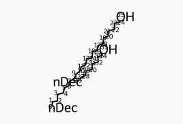 CCCCCCCCCCCCCCCCCCCCCCCCCCCCCCCCCCO.CCCCCCCCCCCCCCCCCCO